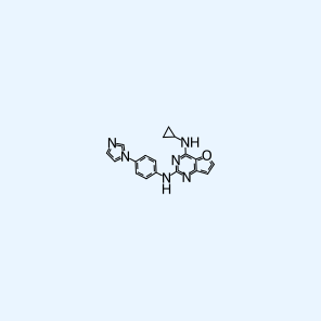 c1cn(-c2ccc(Nc3nc(NC4CC4)c4occc4n3)cc2)cn1